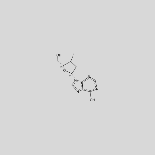 OC[C@H]1O[C@@H](n2cnc3c(O)ncnc32)CC1F